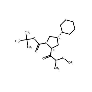 CON(C)C(=O)[C@@H]1C[C@@H](C2CCCCC2)CN1C(=O)OC(C)(C)C